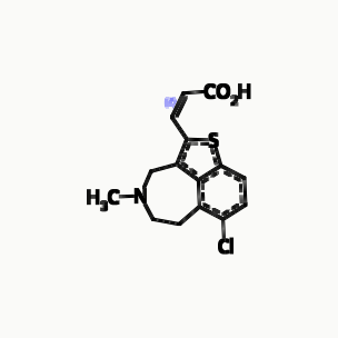 CN1CCc2c(Cl)ccc3sc(/C=C\C(=O)O)c(c23)C1